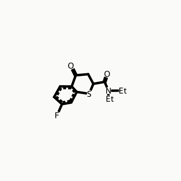 CCN(CC)C(=O)C1CC(=O)c2ccc(F)cc2S1